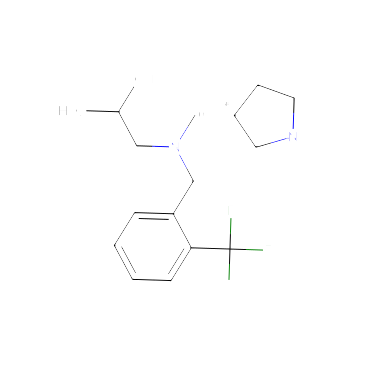 CC(C)CN(Cc1ccccc1C(F)(F)F)C[C@@H]1CCNC1